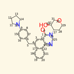 O=c1c2cc(Cc3ccc(N4CCCC4)cc3)c3ccccc3c2ncn1[C@H]1CCOC[C@@H]1O